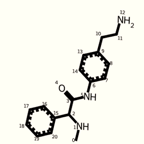 CNC(C(=O)Nc1ccc(CCN)cc1)c1ccccc1